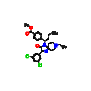 CC(C)CN1CCC2(CC1)N=C(c1cc(Cl)cc(Cl)c1)C(=O)N2[C@H](CCC(C)(C)C)c1ccc(C(=O)OC(C)C)cc1